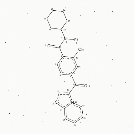 CCN(C(=O)c1ccc(C(=O)c2cnc3ccccn23)cc1Cl)C1CCCCC1